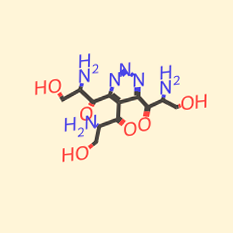 NC(CO)C(=O)c1nnnc(C(=O)C(N)CO)c1C(=O)C(N)CO